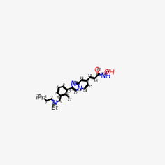 CCN(CCC(C)C)Cc1cccc(-c2cn3ccc(C=CC(=O)NO)cc3n2)c1C